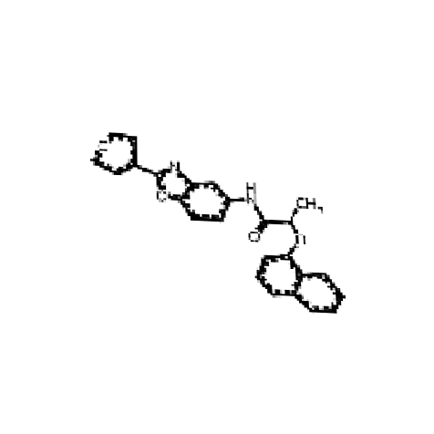 C[C@@H](Oc1cccc2ccccc12)C(=O)Nc1ccc2oc(-c3ccccc3)nc2c1